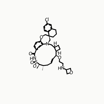 C[C@@H]1[C@@H](C)C/C=C/[C@H](OCCNC2COC2)[C@@H]2CC[C@H]2CN2C[C@@]3(CCCc4cc(Cl)ccc43)COc3ccc(cc32)C(=O)NS1(=O)=O